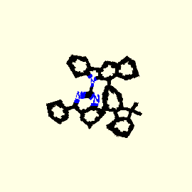 CC1(C)c2ccccc2-c2ccc(-c3c4ccccc4cc4c5ccccc5n(-c5nc(-c6ccccc6)c6ccccc6n5)c34)cc21